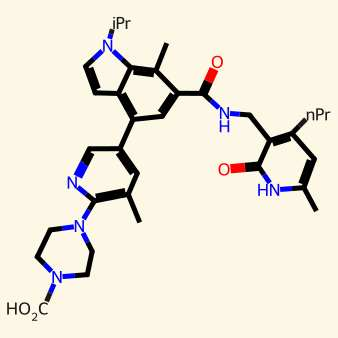 CCCc1cc(C)[nH]c(=O)c1CNC(=O)c1cc(-c2cnc(N3CCN(C(=O)O)CC3)c(C)c2)c2ccn(C(C)C)c2c1C